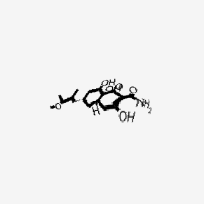 CO/C(C)=C(/C)C[C@@H]1C=C(O)[C@]2(O)C(=O)C(C(N)=O)=C(O)C[C@@H]2C1